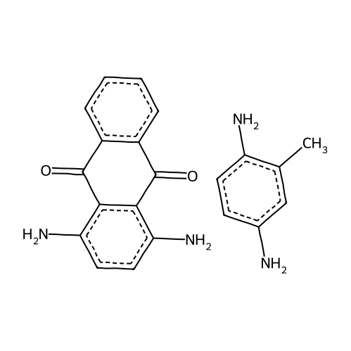 Cc1cc(N)ccc1N.Nc1ccc(N)c2c1C(=O)c1ccccc1C2=O